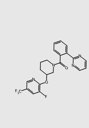 O=C(c1ccccc1-c1ncccn1)N1CCCC(Oc2ncc(C(F)(F)F)cc2F)C1